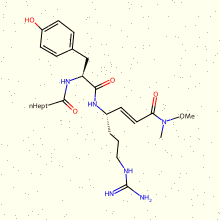 CCCCCCCC(=O)N[C@@H](Cc1ccc(O)cc1)C(=O)N[C@H](/C=C/C(=O)N(C)OC)CCCNC(=N)N